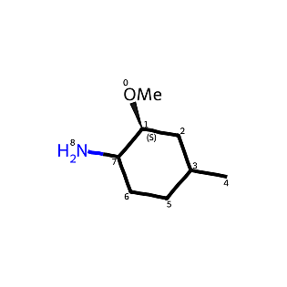 CO[C@H]1CC(C)CCC1N